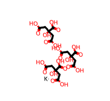 O=C(O)CC(O)(CC(=O)O)C(=O)O.O=C(O)CC(O)(CC(=O)O)C(=O)O.O=C(O)CC(O)(CC(=O)O)C(=O)O.[K]